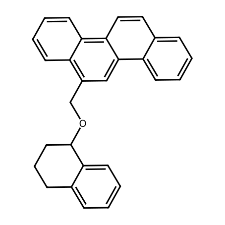 c1ccc2c(c1)CCCC2OCc1cc2c3ccccc3ccc2c2ccccc12